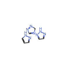 C1=NCN=N1.c1cn[nH]c1.c1cn[nH]n1